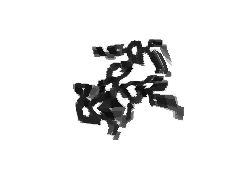 CC(=O)N1C[C@H](C)N(c2nc(-c3c(C)cccc3C)nc3c2CN(c2cc(C(C)C)ccc2C)CC3)C[C@H]1C